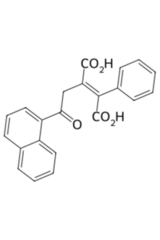 O=C(O)C(CC(=O)c1cccc2ccccc12)=C(C(=O)O)c1ccccc1